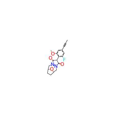 CC#Cc1cc(F)c(C2C(=O)N3CC4CCC(CN3C2=O)O4)c(OC)c1